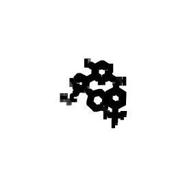 Cc1ncc(-c2nc(Nc3ccc(C(F)(F)F)cc3)ncc2F)n1C1CCOCC1